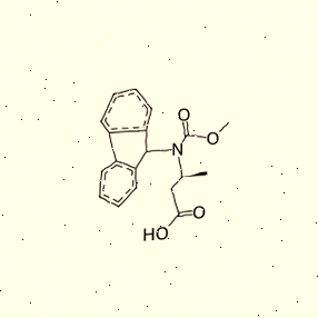 COC(=O)N(C1c2ccccc2-c2ccccc21)[C@@H](C)CC(=O)O